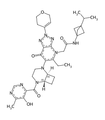 CCc1c(N2CCN(C(=O)c3ncnc(C)c3O)[C@H]3CC[C@@H]32)c(=O)c2nn(C3=CCOCC3)nc2n1CC(=O)NC12CC(C(C)C)(C1)C2